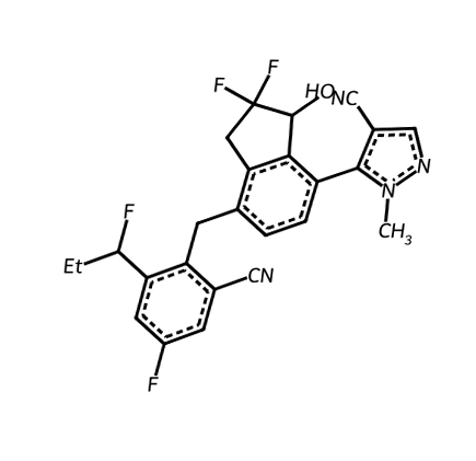 CCC(F)c1cc(F)cc(C#N)c1Cc1ccc(-c2c(C#N)cnn2C)c2c1CC(F)(F)C2O